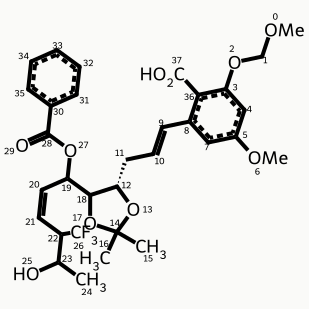 COCOc1cc(OC)cc(/C=C/C[C@@H]2OC(C)(C)OC2C(/C=C\C(C(C)O)C(F)(F)F)OC(=O)c2ccccc2)c1C(=O)O